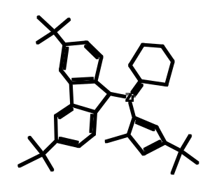 CC1C=C(C(C)(C)C)C=[C]1[Zr](=[C]1CCCCC1)[CH]1c2ccc(C(C)(C)C)cc2-c2cc(C(C)(C)C)ccc21